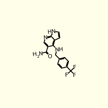 NC(=O)c1cnc2[nH]ccc2c1NCc1ccc(C(F)(F)F)cc1